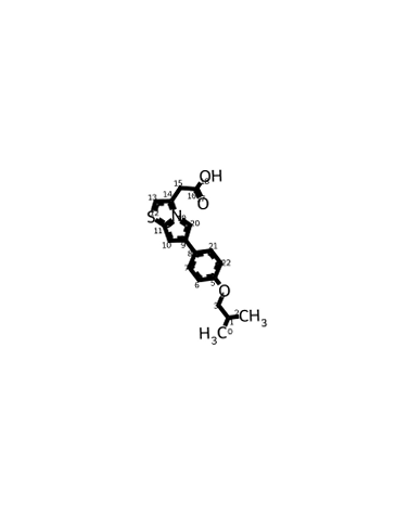 CC(C)COc1ccc(-c2cc3scc(CC(=O)O)n3c2)cc1